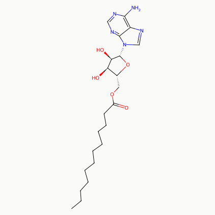 CCCCCCCCCCCC(=O)OC[C@H]1O[C@@H](n2cnc3c(N)ncnc32)[C@H](O)[C@@H]1O